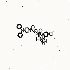 O=C(COCC(=O)N1CCN(C(c2ccccc2)c2ccccc2)CC1)Nc1ccc(Cl)cc1-c1nnn[nH]1